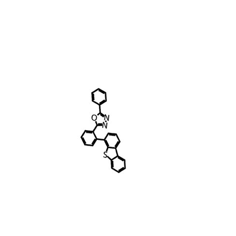 c1ccc(-c2nnc(-c3ccccc3-c3cccc4c3sc3ccccc34)o2)cc1